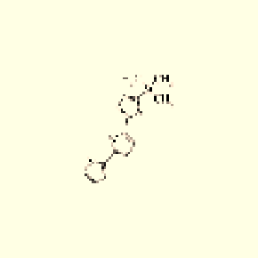 C[Si](C)(C)c1ccc(-c2ccc(-c3cccs3)s2)s1